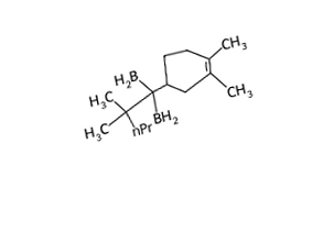 BC(B)(C1CCC(C)=C(C)C1)C(C)(C)CCC